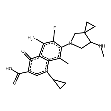 CNC1CN(c2c(F)c(N)c3c(=O)c(C(=O)O)cn(C4CC4)c3c2C)CC12CC2